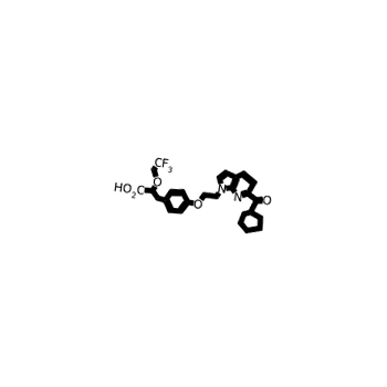 O=C(c1ccc2ccn(CCOc3ccc(CC(OCC(F)(F)F)C(=O)O)cc3)c2n1)C1CCCCC1